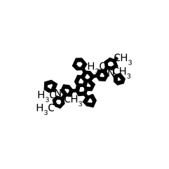 CC1CCC2(C)c3cc(-c4cc(-c5ccccc5)c5ccc6c(-c7ccc8c(c7)C7(C)CCC(C)CC7(C)N8c7ccccc7)cc(-c7ccccc7)c7ccc4c5c76)ccc3N(c3ccccc3)C2(C)C1